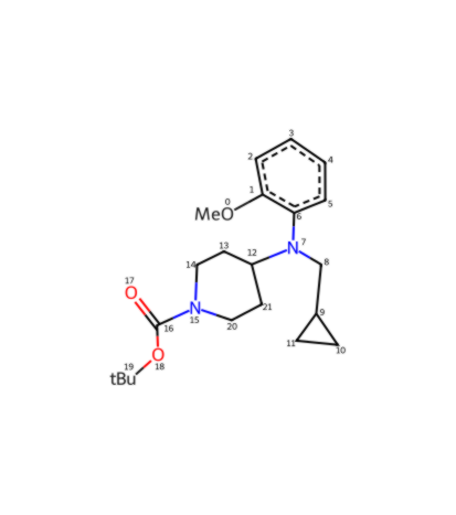 COc1ccccc1N(CC1CC1)C1CCN(C(=O)OC(C)(C)C)CC1